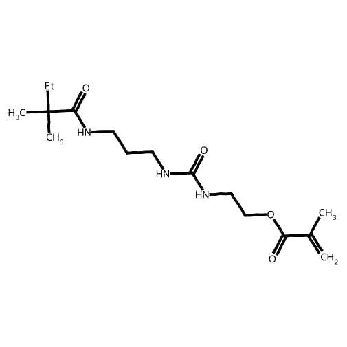 C=C(C)C(=O)OCCNC(=O)NCCCNC(=O)C(C)(C)CC